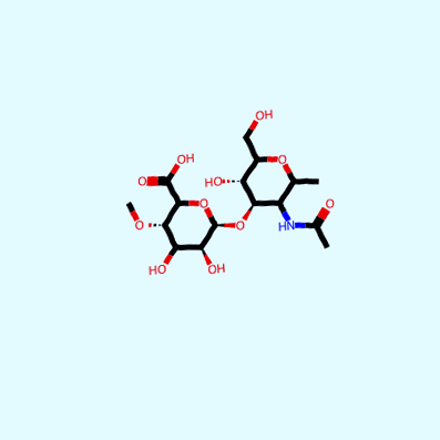 CO[C@@H]1C(C(=O)O)O[C@@H](O[C@@H]2C(NC(C)=O)C(C)OC(CO)[C@H]2O)[C@@H](O)C1O